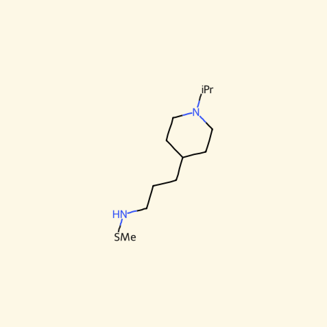 CSNCCCC1CCN(C(C)C)CC1